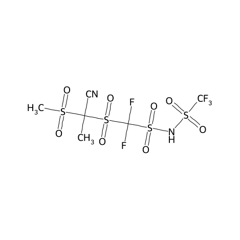 CC(C#N)(S(C)(=O)=O)S(=O)(=O)C(F)(F)S(=O)(=O)NS(=O)(=O)C(F)(F)F